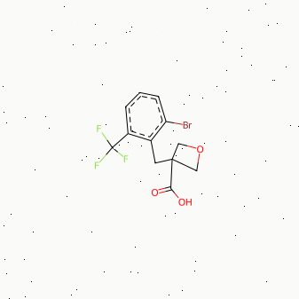 O=C(O)C1(Cc2c(Br)cccc2C(F)(F)F)COC1